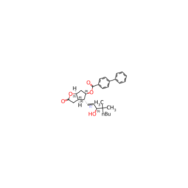 CCCCC(C)(C)[C@@H](O)/C=C/[C@@H]1[C@H]2CC(=O)O[C@H]2C[C@H]1OC(=O)c1ccc(-c2ccccc2)cc1